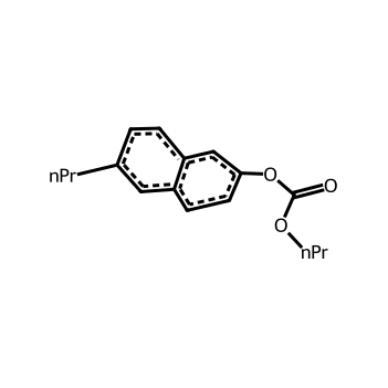 CCCOC(=O)Oc1ccc2cc(CCC)ccc2c1